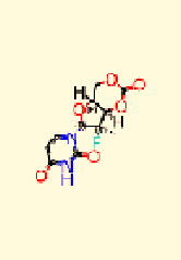 C[C@@]1(F)[C@@H]2OC(=O)OC[C@H]2O[C@H]1n1ccc(=O)[nH]c1=O